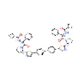 O=C(N[C@@H](C(=O)N1CCC[C@H]1c1ncc(-c2ccc(-c3ccc(-c4cnc([C@@H]5CCCN5C(=O)[C@H](NC(=O)C5CCC5)c5ccccc5)s4)cc3)cc2)s1)c1ccccc1)C1CCC1